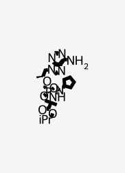 CC(C)OC(=O)C(C)(C)NP(=O)(CO[C@@H](C)Cn1cnc2c(N)ncnc21)ON=C1CCCC1